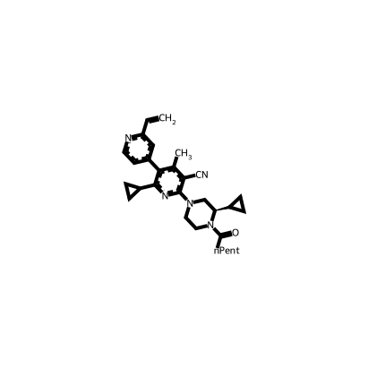 C=Cc1cc(-c2c(C3CC3)nc(N3CCN(C(=O)CCCCC)[C@H](C4CC4)C3)c(C#N)c2C)ccn1